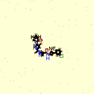 Cc1cc(C(C)n2cc(C(=O)N[C@H]3C[C@@H](c4cc(Cl)ccc4C#N)C3)cn2)nnc1N1C[C@H]2C[C@H]2C1=O